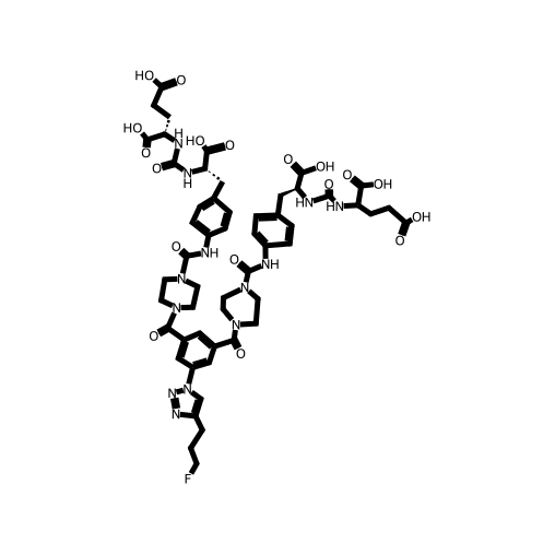 O=C(O)CCC(NC(=O)N[C@@H](Cc1ccc(NC(=O)N2CCN(C(=O)c3cc(C(=O)N4CCN(C(=O)Nc5ccc(C[C@H](NC(=O)N[C@@H](CCC(=O)O)C(=O)O)C(=O)O)cc5)CC4)cc(-n4cc(CCCF)nn4)c3)CC2)cc1)C(=O)O)C(=O)O